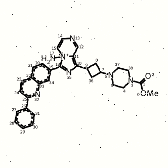 COC(=O)N1CCN(C2CC(C3=C4C=NC=C[N+]4(N)C(c4ccc5ccc(-c6ccccc6)nc5c4)=N3)C2)CC1